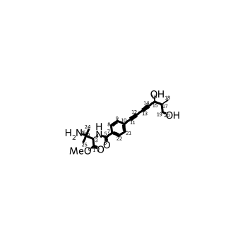 COC(=O)[C@@H](NC(=O)c1ccc(C#CC#C[C@@H](O)[C@@H](C)CO)cc1)C(C)(C)N